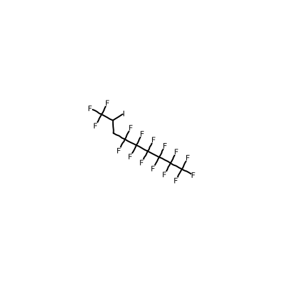 FC(F)(F)C(I)CC(F)(F)C(F)(F)C(F)(F)C(F)(F)C(F)(F)C(F)(F)F